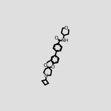 O=C(NC1CCOCC1)c1ccc(-c2ccc3c(c2)COC2(CCN(C4CCC4)CC2)O3)cc1